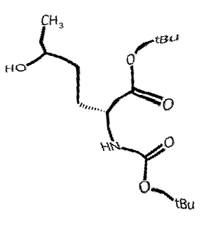 CC(O)CC[C@@H](NC(=O)OC(C)(C)C)C(=O)OC(C)(C)C